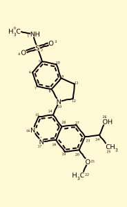 CNS(=O)(=O)c1ccc2c(c1)CCN2c1cnnc2cc(OC)c(C(C)O)cc12